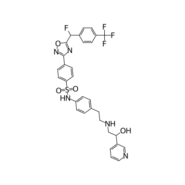 O=S(=O)(Nc1ccc(CCNCC(O)c2cccnc2)cc1)c1ccc(-c2noc(C(F)c3ccc(C(F)(F)F)cc3)n2)cc1